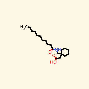 CCCCCCCCCCC(=O)NCC1(CC(=O)O)CCCCC1